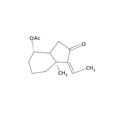 C/C=C1\C(=O)CC2[C@@H](OC(C)=O)CCC[C@]12C